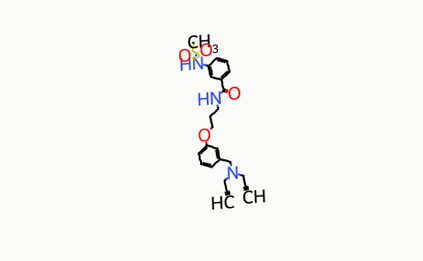 C#CCN(CC#C)Cc1cccc(OCCCNC(=O)c2cccc(NS(C)(=O)=O)c2)c1